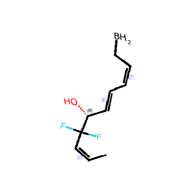 BC/C=C\C=C\[C@@H](O)C(F)(F)/C=C\C